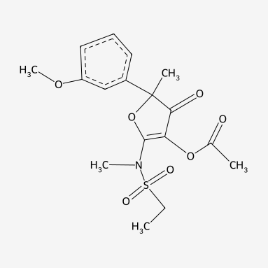 CCS(=O)(=O)N(C)C1=C(OC(C)=O)C(=O)C(C)(c2cccc(OC)c2)O1